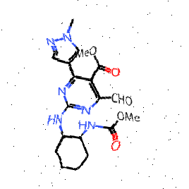 COC(=O)N[C@H]1CCCC[C@H]1Nc1nc(C=O)c(C(=O)OC)c(-c2cnn(C)c2)n1